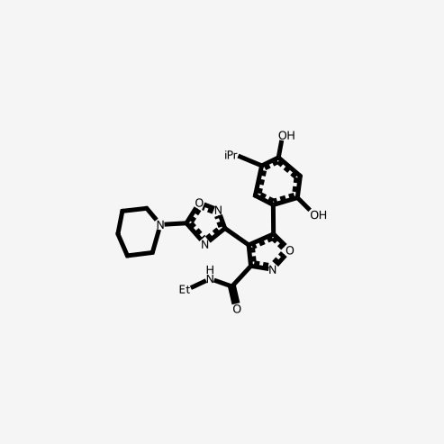 CCNC(=O)c1noc(-c2cc(C(C)C)c(O)cc2O)c1-c1noc(N2CCCCC2)n1